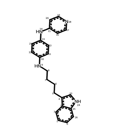 c1ccc2c(CCCCNc3ccc(Nc4ccncc4)cc3)c[nH]c2c1